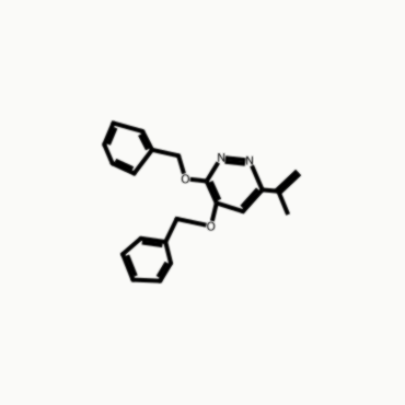 C=C(C)c1cc(OCc2ccccc2)c(OCc2ccccc2)nn1